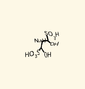 O=S(=O)(O)C(O)CC(O)S(=O)(=O)O.[NaH]